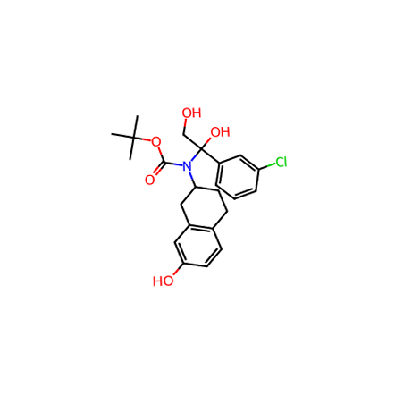 CC(C)(C)OC(=O)N(C1CCc2ccc(O)cc2C1)C(O)(CO)c1cccc(Cl)c1